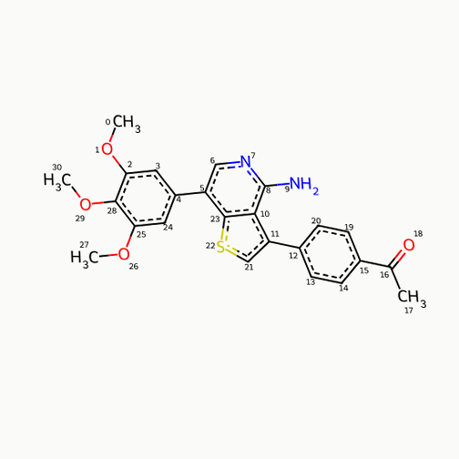 COc1cc(-c2cnc(N)c3c(-c4ccc(C(C)=O)cc4)csc23)cc(OC)c1OC